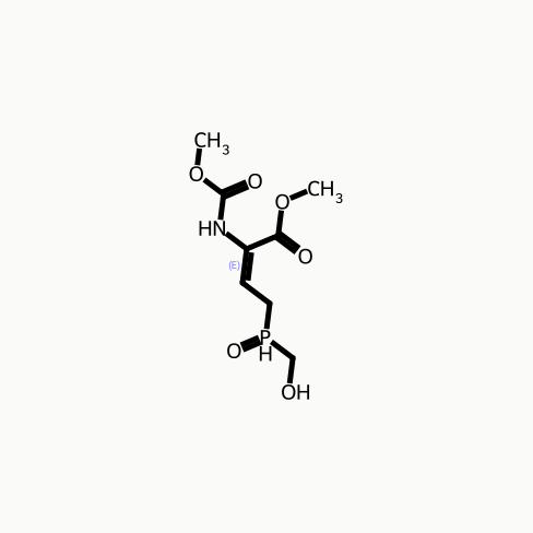 COC(=O)N/C(=C/C[PH](=O)CO)C(=O)OC